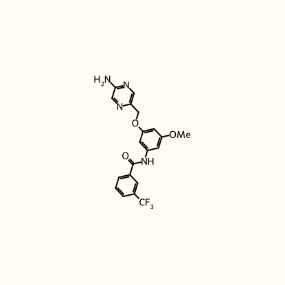 COc1cc(NC(=O)c2cccc(C(F)(F)F)c2)cc(OCc2cnc(N)cn2)c1